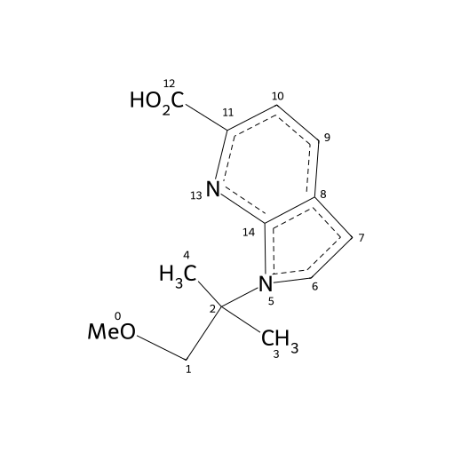 COCC(C)(C)n1ccc2ccc(C(=O)O)nc21